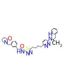 C=C(Cc1ccccc1)Nc1ccc(CCCCc2nnc(NC(=O)Cc3cccc(CN4CCCC4=O)c3)s2)nn1